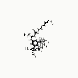 CCCCCCOC(=O)CC(C)Cc1cc(C(C)(C)C)c(O)c(C(C)(C)C)c1